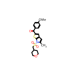 COc1ccc(C(=O)c2cc3cc(C)n(S(=O)(=O)CC4CCOCC4)c3s2)cc1